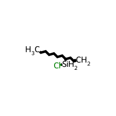 C=CCC(CCCCCCC)[SiH2]Cl